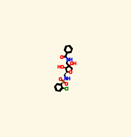 O=C(NC[C@]1(O)CO[C@H](CNS(=O)(=O)c2ccccc2Cl)[C@H]1O)c1ccccc1